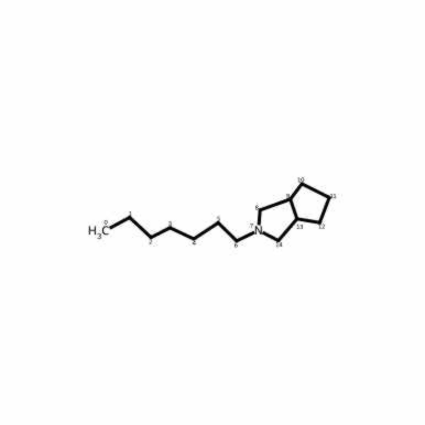 CCCCCCCN1CC2CCCC2C1